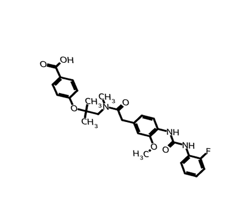 COc1cc(CC(=O)N(C)CC(C)(C)Oc2ccc(C(=O)O)cc2)ccc1NC(=O)Nc1ccccc1F